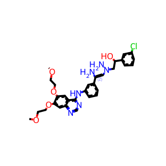 COCCOc1cc2ncnc(Nc3cccc(/C(N)=C/N(N)CC(O)c4cccc(Cl)c4)c3)c2cc1OCCOC